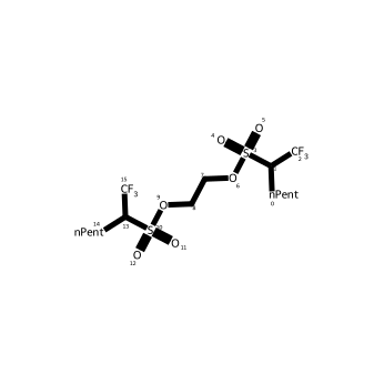 CCCCCC(C(F)(F)F)S(=O)(=O)OCCOS(=O)(=O)C(CCCCC)C(F)(F)F